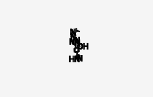 CC(C)C1CN(c2ncc(-c3ccc(-c4cn[nH]c4)cc3O)nn2)CCN1C